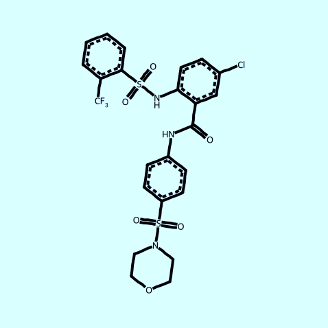 O=C(Nc1ccc(S(=O)(=O)N2CCOCC2)cc1)c1cc(Cl)ccc1NS(=O)(=O)c1ccccc1C(F)(F)F